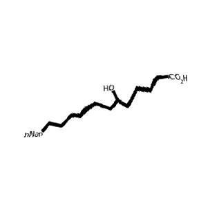 CCCCCCCCCCCCCCCC(O)CCCCC(=O)O